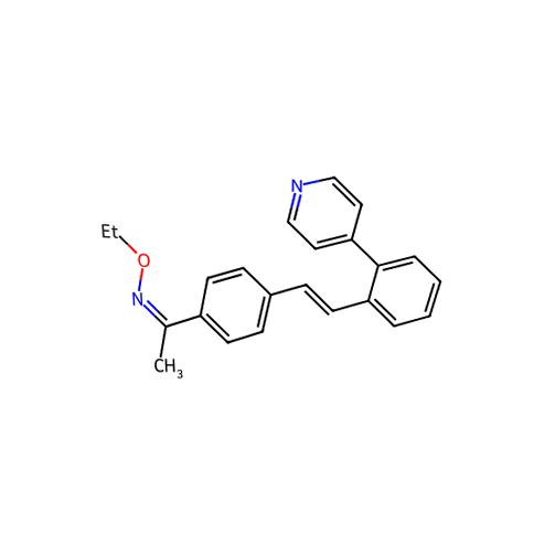 CCO/N=C(/C)c1ccc(/C=C/c2ccccc2-c2ccncc2)cc1